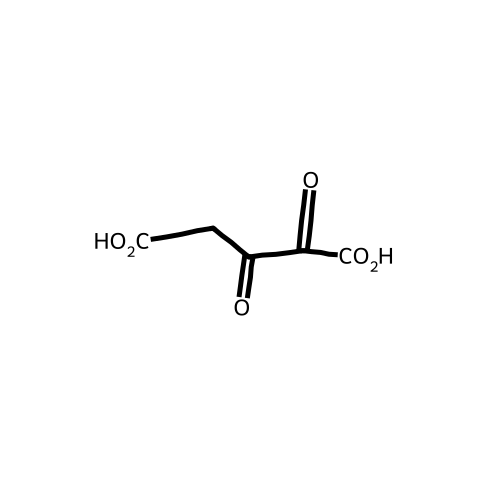 O=C(O)CC(=O)C(=O)C(=O)O